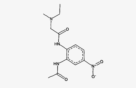 CCN(C)CC(=O)Nc1ccc([N+](=O)[O-])cc1NC(C)=O